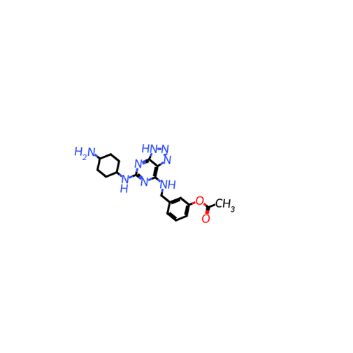 CC(=O)Oc1cccc(CNc2nc(NC3CCC(N)CC3)nc3[nH]nnc23)c1